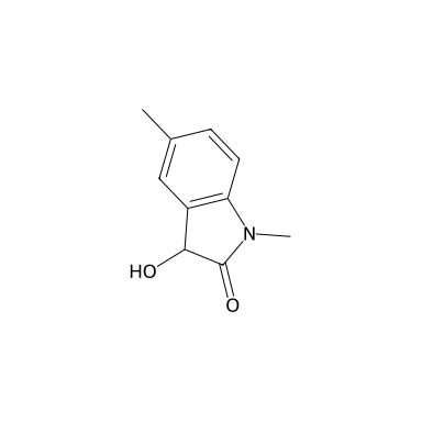 Cc1ccc2c(c1)C(O)C(=O)N2C